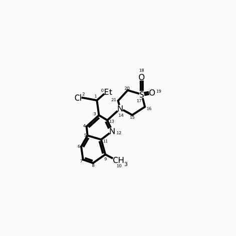 CCC(Cl)c1cc2cccc(C)c2nc1N1CCS(=O)(=O)CC1